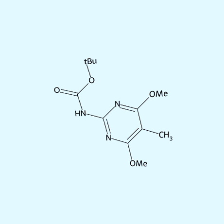 COc1nc(NC(=O)OC(C)(C)C)nc(OC)c1C